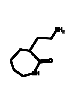 NCCC1CCCCNC1=O